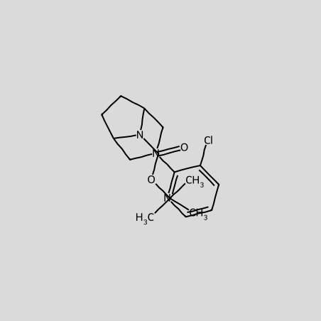 CC(C)(C)OC(=O)N1C2CCC1CN(c1ncccc1Cl)C2